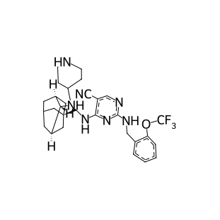 N#Cc1cnc(NCc2ccccc2OC(F)(F)F)nc1NC[C@]12CC3C[C@H](C1)[C@@H](NC1CCNCC1)[C@@H](C3)C2